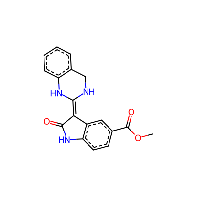 COC(=O)c1ccc2c(c1)/C(=C1\NCc3ccccc3N1)C(=O)N2